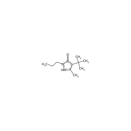 CCCn1[nH]c(C)c(C(C)(C)C)c1=O